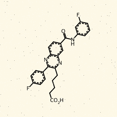 O=C(O)CCCCc1nc2cc(C(=O)Nc3cccc(F)c3)ccc2nc1-c1ccc(F)cc1